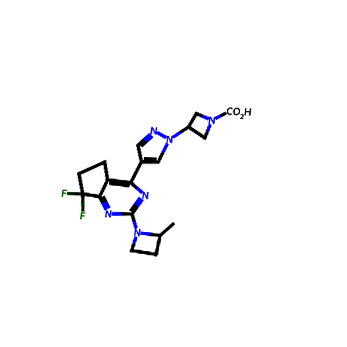 CC1CCN1c1nc(-c2cnn(C3CN(C(=O)O)C3)c2)c2c(n1)C(F)(F)CC2